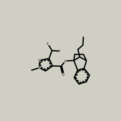 CCCC1C2CCC1(OC(=O)c1cn(C)nc1C(F)F)c1ccccc12